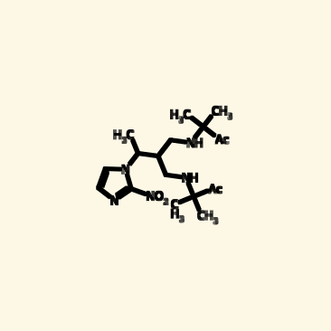 CC(=O)C(C)(C)NCC(CNC(C)(C)C(C)=O)C(C)n1ccnc1[N+](=O)[O-]